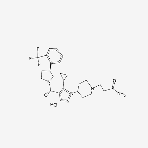 Cl.NC(=O)CCN1CCC(n2ncc(C(=O)N3CC[C@@H](c4ccccc4C(F)(F)F)C3)c2C2CC2)CC1